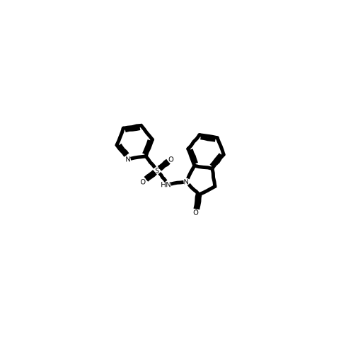 O=C1Cc2ccccc2N1NS(=O)(=O)c1ccccn1